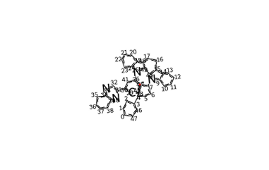 c1ccc(-c2ccc(-n3c4ccccc4c4ccc5c6ccccc6n(-c6cccc(-c7cnc8ccccc8n7)c6)c5c43)cc2)cc1